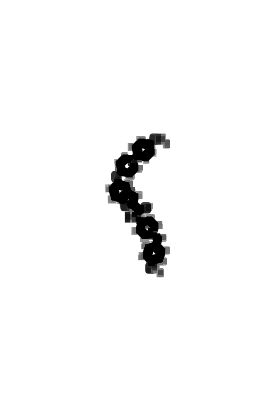 Cc1ccc(N2CCC(Oc3ccc4oc(C(=O)NC5CCN(Cc6ccc(C(F)(F)F)cc6)CC5)cc4c3)CC2)cc1